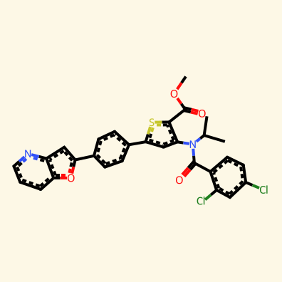 COC(=O)c1sc(-c2ccc(-c3cc4ncccc4o3)cc2)cc1N(C(=O)c1ccc(Cl)cc1Cl)C(C)C